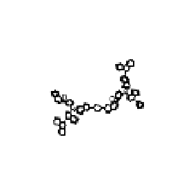 c1ccc(-c2ccc(N(c3ccc4cc(-c5cc6ccccc6c6ccccc56)ccc4c3)c3ccc4oc5c6cc(-c7ccc(-c8ccc9cc(N(c%10ccc%11oc%12c%13ccccc%13ccc%12c%11c%10)c%10ccc(-c%11cc%12ccccc%12c%12ccccc%11%12)c%11ccccc%10%11)ccc9c8)cc7)ccc6ccc5c4c3)c3ccccc23)cc1